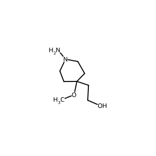 COC1(CCO)CCN(N)CC1